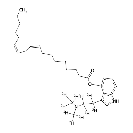 [2H]C([2H])([2H])N(C([2H])([2H])[2H])C([2H])([2H])C([2H])([2H])c1c[nH]c2cccc(OC(=O)CCCCCCC/C=C\C/C=C\CCCCC)c12